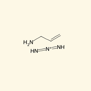 C=CCN.N=[N+]=N